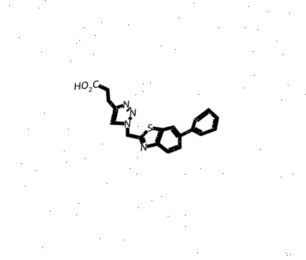 O=C(O)CCc1cn(Cc2nc3ccc(-c4ccccc4)cc3s2)nn1